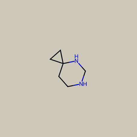 C1CC2(CC2)NCN1